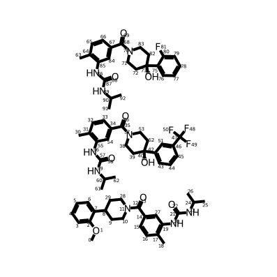 COc1ccccc1C1CCN(C(=O)c2ccc(C)c(NC(=O)NC(C)C)c2)CC1.Cc1ccc(C(=O)N2CCC(O)(c3cccc(C(F)(F)F)c3)CC2)cc1NC(=O)NC(C)C.Cc1ccc(C(=O)N2CCC(O)(c3ccccc3F)CC2)cc1NC(=O)NC(C)C